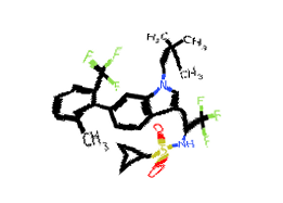 Cc1cccc(C(F)(F)F)c1-c1ccc2c([C@H](NS(=O)(=O)C3CC3)C(F)(F)F)cn(CC(C)(C)C)c2c1